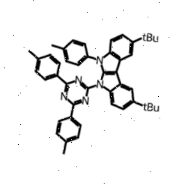 Cc1ccc(-c2nc(-c3ccc(C)cc3)nc(-n3c4ccc(C(C)(C)C)cc4c4c5cc(C(C)(C)C)ccc5n(-c5ccc(C)cc5)c43)n2)cc1